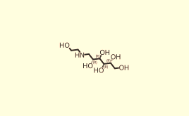 OCCNC[C@@H](O)[C@@H](O)[C@H](O)[C@H](O)CO